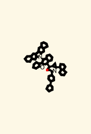 C=C(c1c2ccccc2c(-n2c3cc4ccccc4cc3c3cc4ccccc4cc32)c2c1oc1ccccc12)C1CC1(/N=C(\CC)c1ccc(-c2ccccc2)cc1)c1cccc2ccccc12